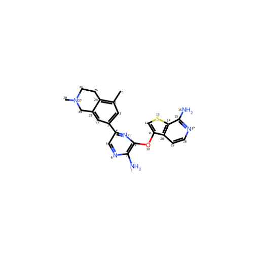 Cc1cc(-c2cnc(N)c(Oc3csc4c(N)nccc34)n2)cc2c1CCN(C)C2